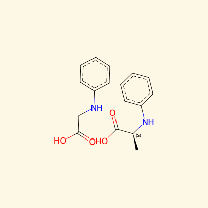 C[C@H](Nc1ccccc1)C(=O)O.O=C(O)CNc1ccccc1